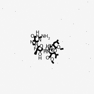 C#CC1(F)[C@@H](O)[C@@H](COP(=O)(NC(CC(C)C)C(=O)OCC)NC(CC(C)C)C(=O)OCC)O[C@H]1n1cnc2c(=O)[nH]c(N)nc21